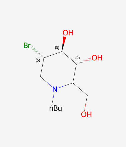 CCCCN1C[C@H](Br)[C@@H](O)[C@H](O)C1CO